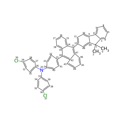 CC1(C)c2ccccc2-c2ccc(-c3c4ccccc4c(-c4ccc(N(c5ccc(Cl)cc5)c5ccc(Cl)cc5)cc4)c4ccccc34)cc21